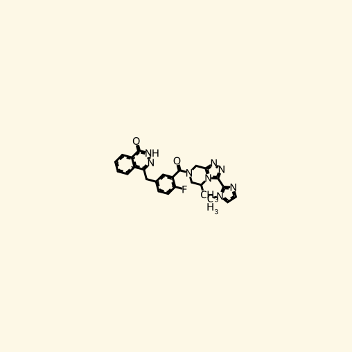 CC1CN(C(=O)c2cc(Cc3n[nH]c(=O)c4ccccc34)ccc2F)Cc2nnc(-c3nccn3C)n21